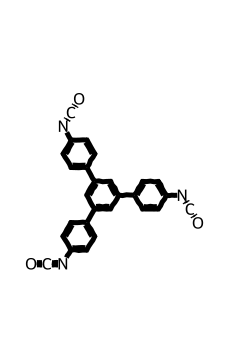 O=C=Nc1ccc(-c2cc(-c3ccc(N=C=O)cc3)cc(-c3ccc(N=C=O)cc3)c2)cc1